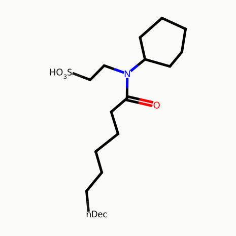 CCCCCCCCCCCCCCCC(=O)N(CCS(=O)(=O)O)C1CCCCC1